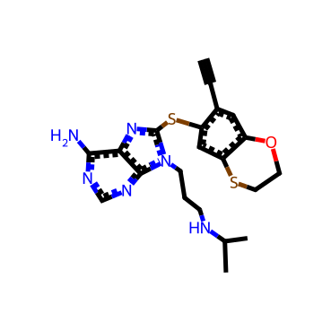 C#Cc1cc2c(cc1Sc1nc3c(N)ncnc3n1CCCNC(C)C)SCCO2